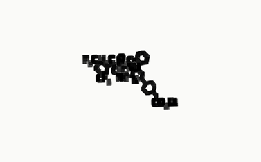 CCOC(=O)CC1CCC(c2cc(-c3ccccc3C)c(NCC(=O)C(C)(C)c3cc(C(F)(F)F)cc(C(F)(F)F)c3)c(C#N)n2)CC1